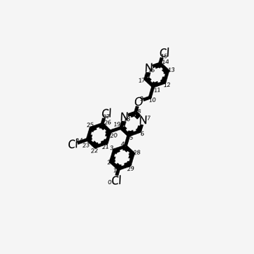 Clc1ccc(-c2cnc(OCc3ccc(Cl)nc3)nc2-c2ccc(Cl)cc2Cl)cc1